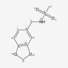 CS(=O)(=O)NCc1ccc2c(c1)OCO2